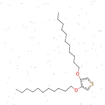 CCCCCCCCCCCOc1cscc1OCCCCCCCCCCC